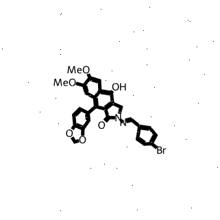 COc1cc2c(O)c3c(c(-c4ccc5c(c4)OCO5)c2cc1OC)C(=O)N(/N=C/c1ccc(Br)cc1)C3